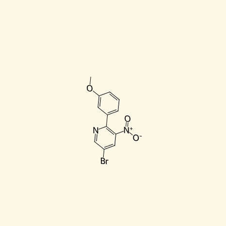 COc1cccc(-c2ncc(Br)cc2[N+](=O)[O-])c1